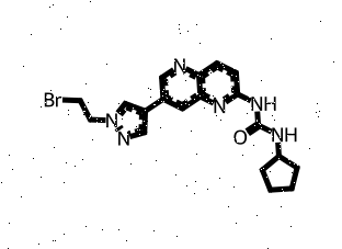 O=C(Nc1ccc2ncc(-c3cnn(CCBr)c3)cc2n1)NC1CCCC1